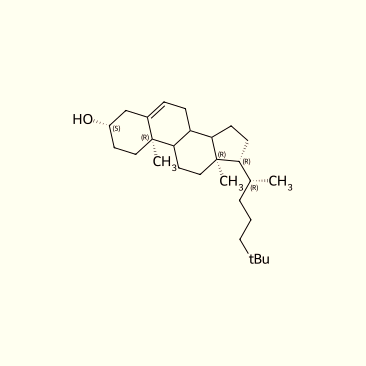 C[C@H](CCCC(C)(C)C)[C@H]1CCC2C3CC=C4C[C@@H](O)CC[C@]4(C)C3CC[C@@]21C